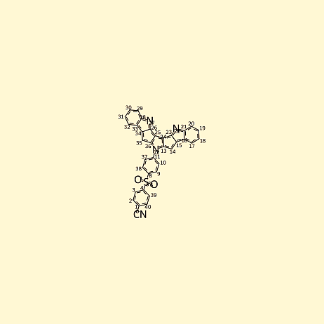 N#Cc1ccc(S(=O)(=O)c2ccc(-n3c4cc5c6ccccc6nc-5c4c4c5nc6ccccc6c-5cc43)cc2)cc1